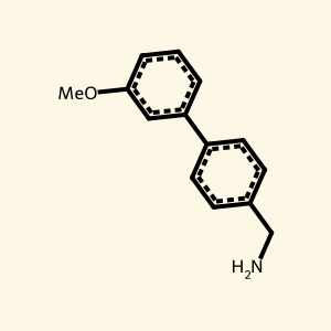 COc1cccc(-c2ccc(CN)cc2)c1